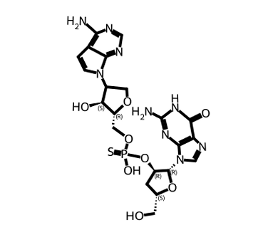 Nc1nc2c(ncn2[C@@H]2O[C@H](CO)C[C@H]2OP(O)(=S)OC[C@H]2OCC(n3ccc4c(N)ncnc43)[C@@H]2O)c(=O)[nH]1